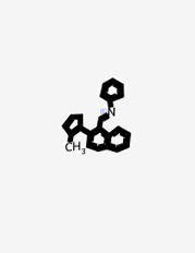 CC1=C(c2ccc3ccccc3c2/C=N/c2ccccc2)CC=C1